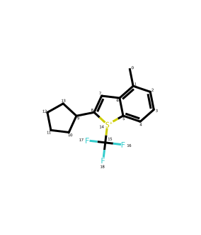 Cc1cccc2c1cc(C1CCCC1)[s+]2C(F)(F)F